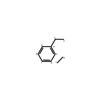 CC.CCc1ccccc1